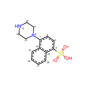 O=S(=O)(O)c1ccc(N2CCNCC2)c2ccccc12